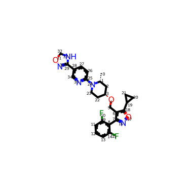 C[C@@H]1C[C@H](OCc2c(-c3c(F)cccc3F)noc2C2CC2)CCN1c1ccc(C2=NOCN2)cn1